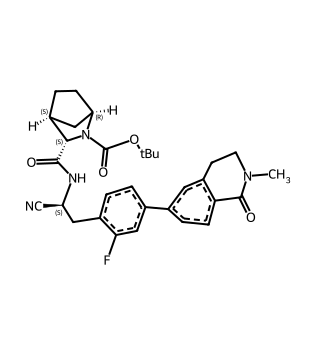 CN1CCc2cc(-c3ccc(C[C@@H](C#N)NC(=O)[C@@H]4[C@H]5CC[C@H](C5)N4C(=O)OC(C)(C)C)c(F)c3)ccc2C1=O